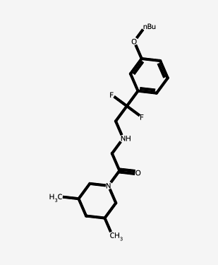 CCCCOc1cccc(C(F)(F)CNCC(=O)N2CC(C)CC(C)C2)c1